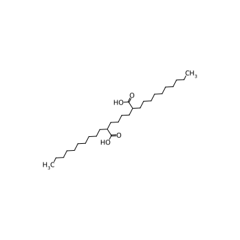 CCCCCCCCCCC(CCCCC(CCCCCCCCCC)C(=O)O)C(=O)O